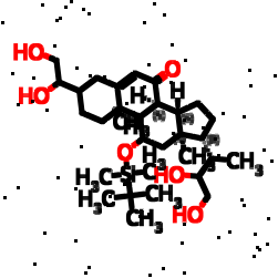 CC(C(O)CO)[C@H]1CC[C@H]2[C@@H]3C(=O)C=C4CC(C(O)CO)CC[C@]4(C)[C@H]3C(O[Si](C)(C)C(C)(C)C)C[C@]12C